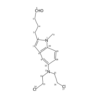 Cn1c(CCCC=O)cc2cc(N(CCCl)CCCl)ccc21